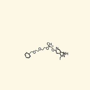 C[C@@H](COc1cc2c(I)n[nH]c2cn1)OCCOCCOCc1ccccc1